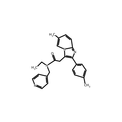 CCN(Cc1ccncc1)C(=O)Cc1c(-c2ccc(C)cc2)nc2ccc(C)cn12